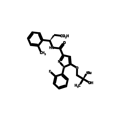 Cc1ccccc1[C@H](CC(=O)O)NC(=O)c1cc(OC[C@@](C)(O)C(C)(C)C)n(-c2ccccc2F)n1